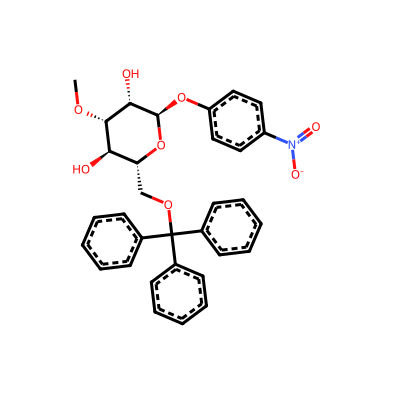 CO[C@@H]1[C@H](O)[C@@H](Oc2ccc([N+](=O)[O-])cc2)O[C@H](COC(c2ccccc2)(c2ccccc2)c2ccccc2)[C@H]1O